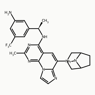 Cc1nc(N[C@H](C)c2cc(N)cc(C(F)(F)F)c2)c2cc(N3CC4CCC(C3)N4C(C)C)c3nccn3c2n1